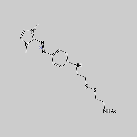 CC(=O)NCCSSCCNc1ccc(/N=N/c2n(C)cc[n+]2C)cc1